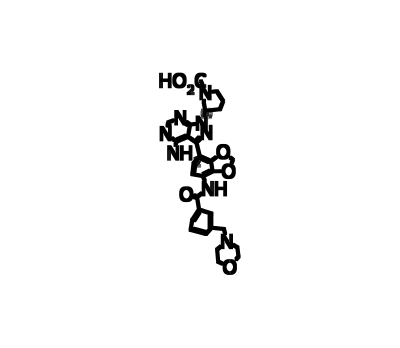 Nc1ncnc2c1c(-c1ccc(NC(=O)c3cccc(CN4CCOCC4)c3)c3c1OCO3)nn2[C@@H]1CCCN(C(=O)O)C1